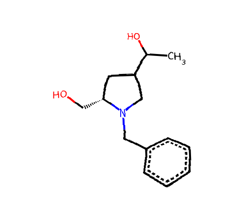 CC(O)C1C[C@@H](CO)N(Cc2ccccc2)C1